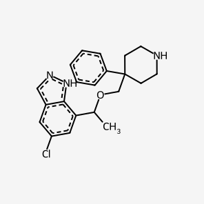 CC(OCC1(c2ccccc2)CCNCC1)c1cc(Cl)cc2cn[nH]c12